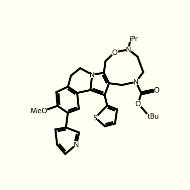 COc1cc2c(cc1-c1cccnc1)-c1c(-c3cccs3)c3c(n1CC2)CON(C(C)C)CCN(C(=O)OC(C)(C)C)C3